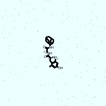 Cc1cc(O)cc(C)c1C[C@H](N)C(=O)N[C@H](C)C(=O)NC1C2CC3CC(C2)CC1C3